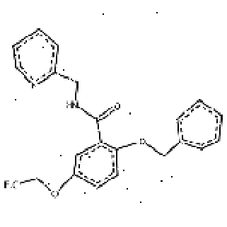 O=C(NCc1ccccn1)c1cc(OCC(F)(F)F)ccc1OCc1ccccc1